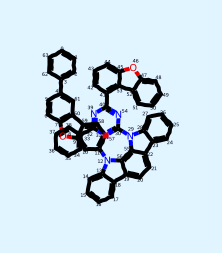 c1ccc(-c2ccc3oc4cc(-n5c6ccccc6c6ccc7c8ccccc8n(-c8nc(-c9ccccc9)nc(-c9cccc%10oc%11ccccc%11c9%10)n8)c7c65)ccc4c3c2)cc1